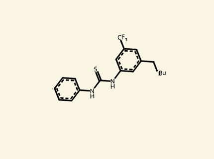 CCC(C)Cc1cc(NC(=S)Nc2cc[c]cc2)cc(C(F)(F)F)c1